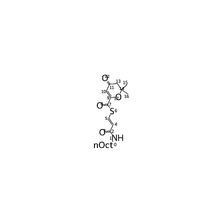 CCCCCCCCNC(=O)C=CSC(=O)C1=CC(=O)CC(C)(C)O1